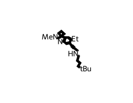 CCc1cc2c(cc1C#CCNCCCCC(C)(C)C)N=C(NC)C21CCC1